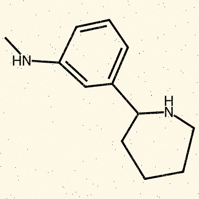 CNc1cccc(C2CCCCN2)c1